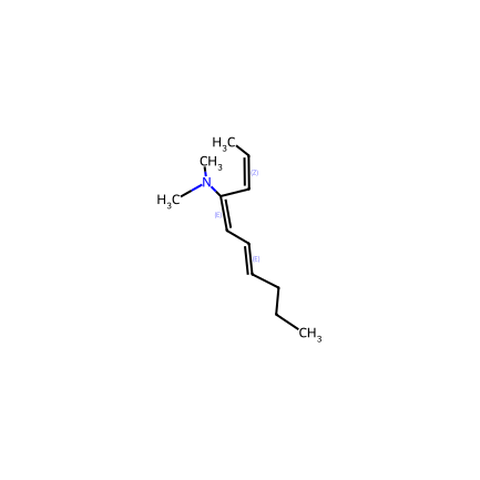 C\C=C/C(=C\C=C\CCC)N(C)C